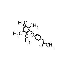 CC(=O)Cc1ccc(OCc2c(C)c(C)cc(C)c2C)cc1